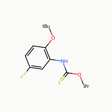 CC(C)OC(=S)Nc1cc(F)ccc1OC(C)(C)C